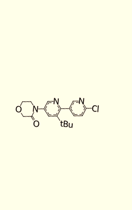 CC(C)(C)c1cc(N2CCOCC2=O)cnc1-c1ccc(Cl)nc1